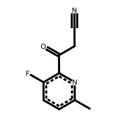 Cc1ccc(F)c(C(=O)CC#N)n1